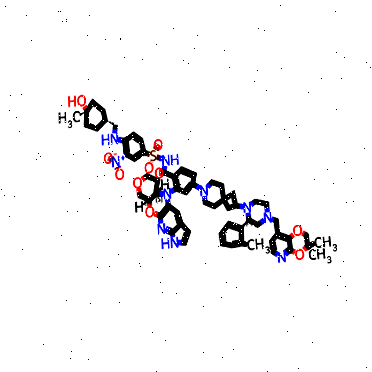 Cc1ccccc1[C@@H]1CN(Cc2ccnc3c2OCC(C)(C)O3)CCN1C1CC2(CCN(c3ccc(C(=O)NS(=O)(=O)c4ccc(NC[C@H]5CC[C@](C)(O)CC5)c([N+](=O)[O-])c4)c(N4c5cc6cc[nH]c6nc5O[C@H]5COCC[C@@H]54)c3)CC2)C1